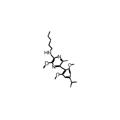 CCCCCNc1nc(C)c(-c2c(OC)cc(C(C)C)cc2OC)nc1OC